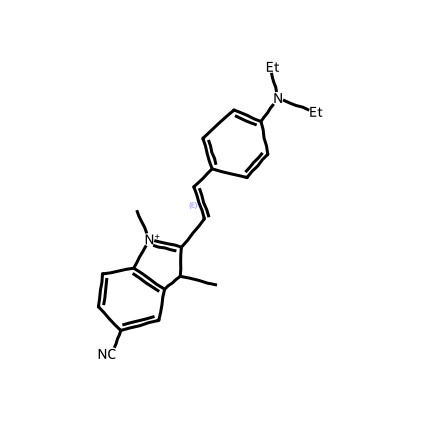 CCN(CC)c1ccc(/C=C/C2=[N+](C)c3ccc(C#N)cc3C2C)cc1